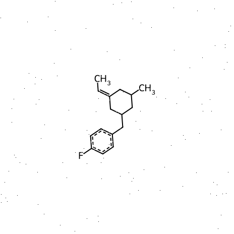 C/C=C1\CC(C)CC(Cc2ccc(F)cc2)C1